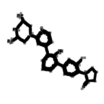 CC1CN(c2cc(-c3cccc(-c4ccc(N5CCCC5=O)c(F)c4)c3O)ccn2)CC(C)N1